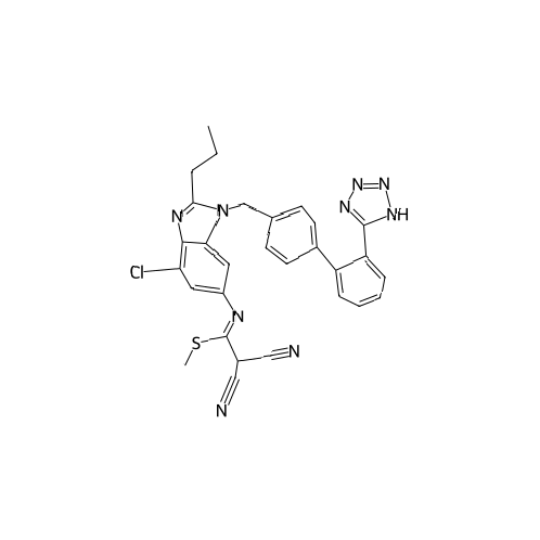 CCCc1nc2c(Cl)cc(N=C(SC)C(C#N)C#N)cc2n1Cc1ccc(-c2ccccc2-c2nnn[nH]2)cc1